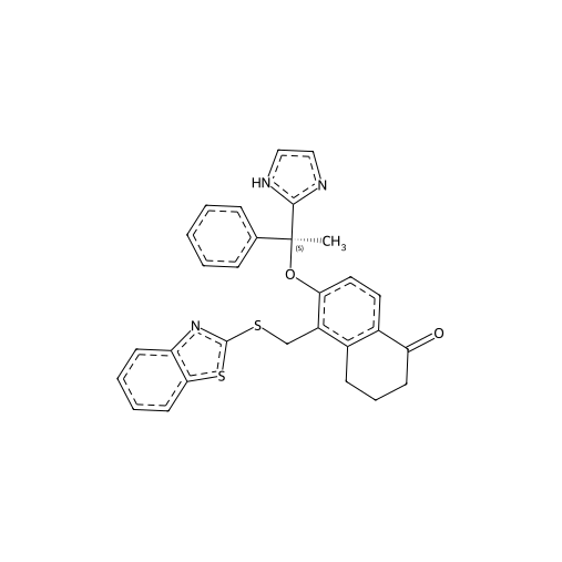 C[C@](Oc1ccc2c(c1CSc1nc3ccccc3s1)CCCC2=O)(c1ccccc1)c1ncc[nH]1